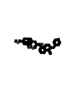 CC12CC3CC(C)(C1)CC(CC(=O)Nc1cccc4c(=O)n(Cc5ccncc5)ccc14)(C3)C2